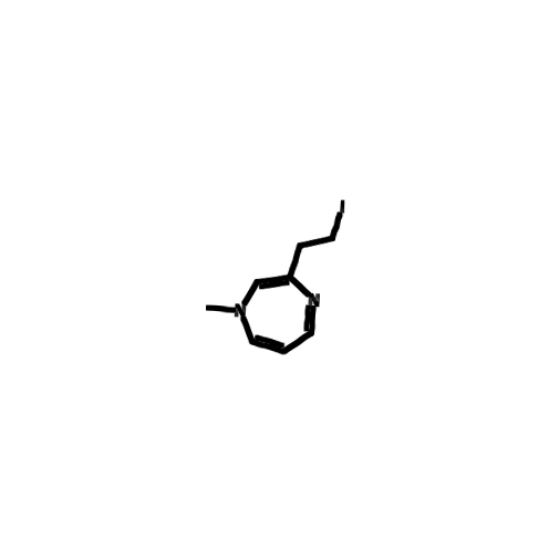 CN1C=CC=NC(CCI)=C1